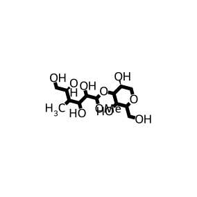 COC(OC1C(O)C(CO)OC[C@H]1O)C(O)C(O)C(C)[C@H](O)CO